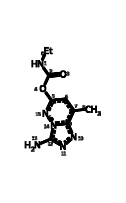 CCNC(=O)Oc1cc(C)c2nnc(N)n2n1